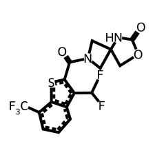 O=C1NC2(CO1)CN(C(=O)c1sc3c(C(F)(F)F)cccc3c1C(F)F)C2